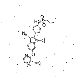 CCCS(=O)(=O)Nc1ccc(-c2c(C#N)c3ccc(Oc4nccnc4C#N)cc3n2C2CC2)cc1